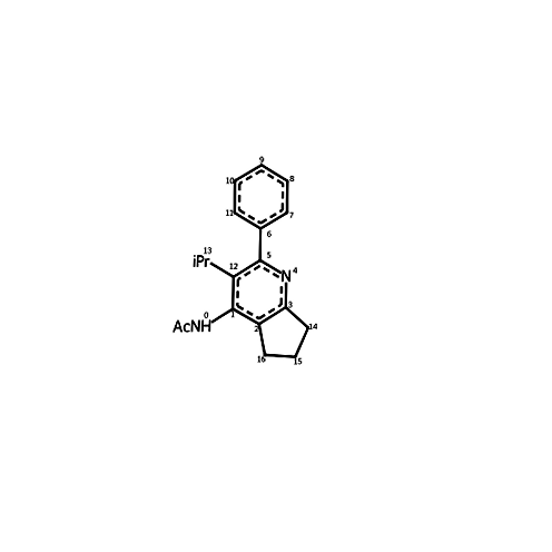 CC(=O)Nc1c2c(nc(-c3ccccc3)c1C(C)C)CCC2